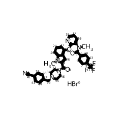 Br.CN(C(=O)c1ccc(C(F)(F)F)cc1)c1cccnc1Oc1cccc2c1cc(C(=O)N1CCN(Cc3ccc(C#N)cc3)CC1)n2C